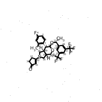 Cc1cc(F)ccc1[C@@H]1C(O[C@H](C)c2cc(C(F)(F)F)cc(C(F)(F)F)c2)OC[C@@H]2CN(C3=CC(=O)CC3)C[C@H]21